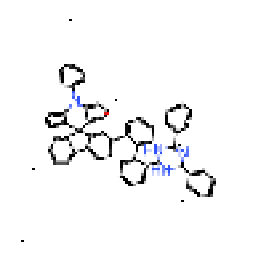 c1ccc(C2=NC(c3ccccc3)NC(c3ccccc3-c3ccccc3-c3ccc4c(c3)C3(c5ccccc5-4)c4ccccc4N(c4ccccc4)c4ccccc43)N2)cc1